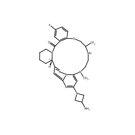 CN1CCNC(C(F)(F)F)COc2ccc(F)cc2C(=O)N2CCCC[C@H]2c2cc3nc(N4CC(N)C4)cc1n3n2